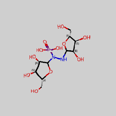 O=P(O)(O)N(NC1O[C@H](CO)[C@@H](O)[C@H]1O)C1O[C@H](CO)[C@@H](O)[C@H]1O